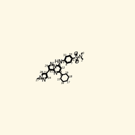 CN(C)S(=O)(=O)c1ccc(Nc2cc(C3CCCCC3)nc3c(-c4cnn(C)c4)cnn23)cc1